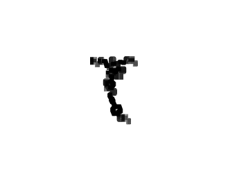 CCCn1c(=O)c2[nH]c(-c3cc(OCC#Cc4ccc(C)cc4)no3)nc2n(CCC)c1=O